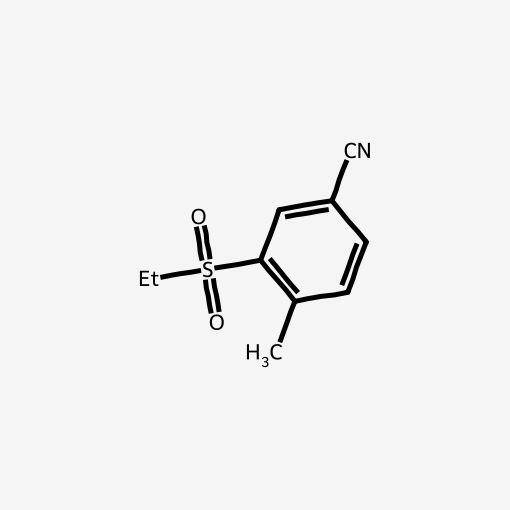 CCS(=O)(=O)c1cc(C#N)ccc1C